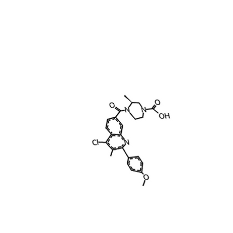 COc1ccc(-c2nc3cc(C(=O)N4CCN(C(=O)O)C[C@@H]4C)ccc3c(Cl)c2C)cc1